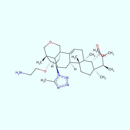 Cc1nnnn1[C@@H]1C[C@@]23COC[C@](C)([C@@H]2CC[C@H]2C3=CC[C@@]3(C)[C@H](C(=O)O)[C@@](C)([C@H](C)C(C)C)CC[C@]23C)[C@H]1OCCN